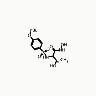 CCCCOc1ccc(S(=O)(=O)NC(C(=O)NO)[C@H](C)O)cc1